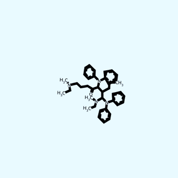 CCN(C)CCCC(=O)C(C(CC(C)=O)C(N(C)CC)N(c1ccccc1)c1ccccc1)N(c1ccccc1)c1ccccc1